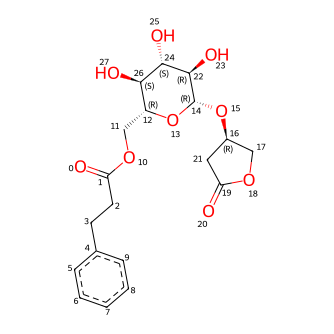 O=C(CCc1ccccc1)OC[C@H]1O[C@@H](O[C@H]2COC(=O)C2)[C@H](O)[C@@H](O)[C@@H]1O